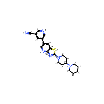 N#Cc1cncc(-c2cnc3nc(N4CCC(N5CCCCC5)CC4)sc3c2)c1